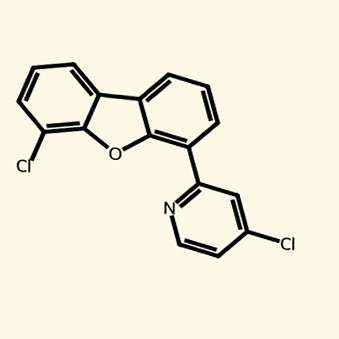 Clc1ccnc(-c2cccc3c2oc2c(Cl)cccc23)c1